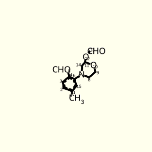 Cc1ccc(C=O)c(N2CCOC(OC=O)C2)c1